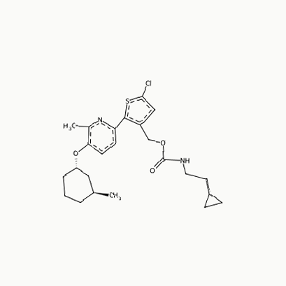 Cc1nc(-c2sc(Cl)cc2COC(=O)NCCC2CC2)ccc1O[C@H]1CCC[C@H](C)C1